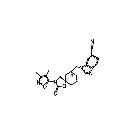 Cc1noc(N2C[C@@]3(CCC[C@](C)(Cn4cnc5ccc(C#N)cc54)C3)OC2=O)c1C